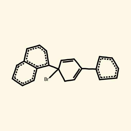 BrC1(c2cccc3ccccc23)C=CC(c2ccccc2)=CC1